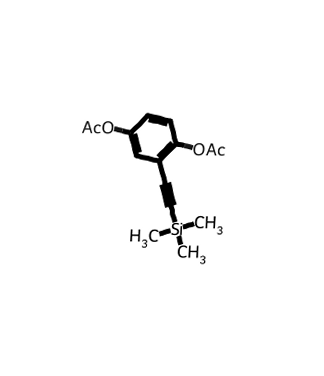 CC(=O)Oc1ccc(OC(C)=O)c(C#C[Si](C)(C)C)c1